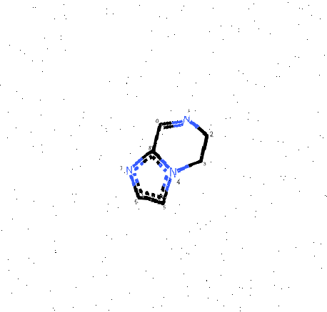 C1=NCCn2ccnc21